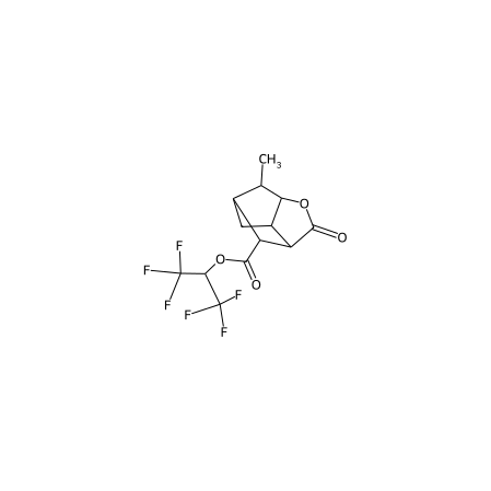 CC1C2CC3C1OC(=O)C3C2C(=O)OC(C(F)(F)F)C(F)(F)F